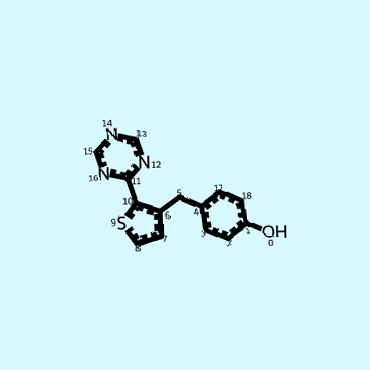 Oc1ccc(Cc2ccsc2-c2ncncn2)cc1